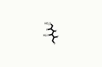 O=S(=O)(O)CC(F)C(F)C(F)C(F)CF.[LiH]